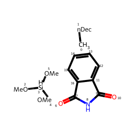 CCCCCCCCCCC.CO[SiH](OC)OC.O=C1NC(=O)c2ccccc21